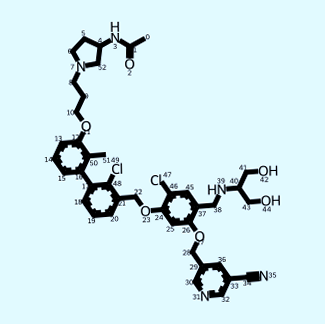 CC(=O)NC1CCN(CCCOc2cccc(-c3cccc(COc4cc(OCc5cncc(C#N)c5)c(CNC(CO)CO)cc4Cl)c3Cl)c2C)C1